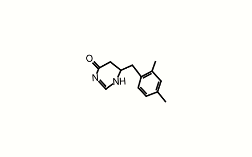 Cc1ccc(CC2CC(=O)N=CN2)c(C)c1